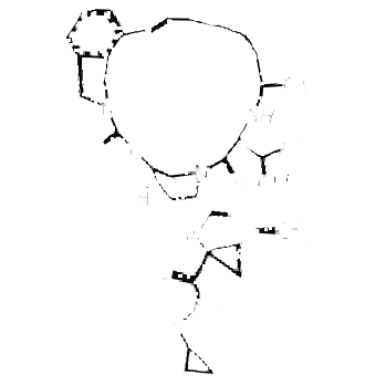 C=C[C@@H]1C[C@]1(NC(=O)[C@@H]1C[C@@H]2CN1C(=O)[C@H](C(C)C)NC(C)CCCC/C=C/c1cccc3c1CN(C3)C(=O)O2)C(=O)NSC1CC1